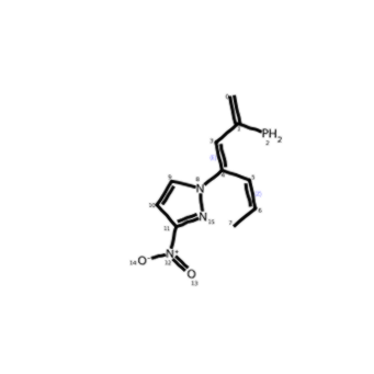 C=C(P)/C=C(\C=C/C)n1ccc([N+](=O)[O-])n1